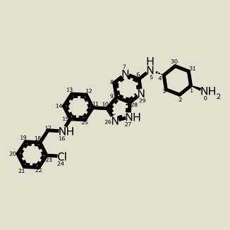 N[C@H]1CC[C@H](Nc2ncc3c(-c4cccc(NCc5ccccc5Cl)c4)n[nH]c3n2)CC1